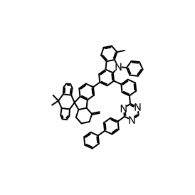 C=C1CCCC2C1c1cc(-c3cc(-c4cccc(-c5ncnc(-c6ccc(-c7ccccc7)cc6)n5)c4)c4c(c3)c3cccc(C)c3n4-c3ccccc3)ccc1C21c2ccccc2C(C)(C)C2C=CC=CC21